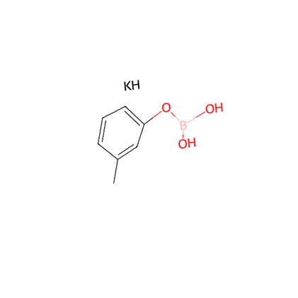 Cc1cccc(OB(O)O)c1.[KH]